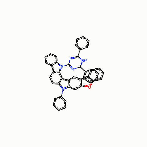 c1ccc(C2=NC(n3c4ccccc4c4ccc5c(c6cc7c(cc6n5-c5ccccc5)oc5ccccc57)c43)=NC(c3ccccc3)N2)cc1